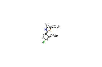 CCc1nc(-c2ccc(F)cc2OC)sc1C(=O)O